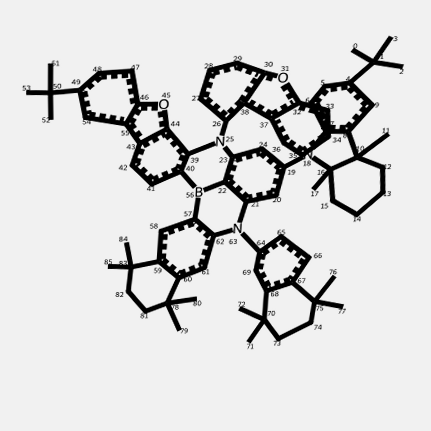 CC(C)(C)c1ccc2c(c1)C1(C)CCCCC1(C)N2c1cc2c3c(c1)N(c1cccc4oc5ccccc5c14)c1c(ccc4c1oc1ccc(C(C)(C)C)cc14)B3c1cc3c(cc1N2c1ccc2c(c1)C(C)(C)CCC2(C)C)C(C)(C)CCC3(C)C